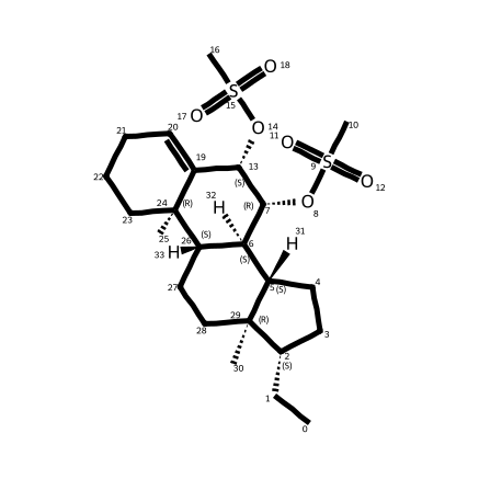 CC[C@H]1CC[C@H]2[C@@H]3[C@@H](OS(C)(=O)=O)[C@@H](OS(C)(=O)=O)C4=CCCC[C@]4(C)[C@H]3CC[C@]12C